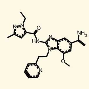 C=C(N)c1cc(OC)c2c(c1)nc(NC(=O)c1cc(C)nn1CC)n2CCc1cc#ccn1